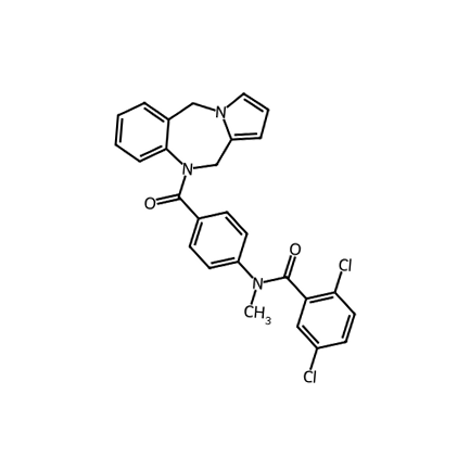 CN(C(=O)c1cc(Cl)ccc1Cl)c1ccc(C(=O)N2Cc3cccn3Cc3ccccc32)cc1